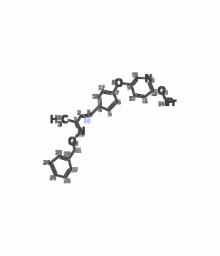 CC(/C=C/c1ccc(Oc2ccc(OC(C)C)nc2)cc1)=NOCc1ccccc1